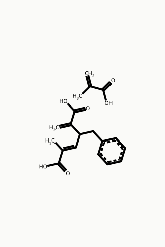 C=C(C(=O)O)C(C=C(C)C(=O)O)Cc1ccccc1.C=C(C)C(=O)O